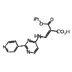 [CH2]C(C)OC(=O)C(=CNc1ccnc(-c2ccncc2)n1)C(=O)O